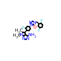 Cc1c(-c2ccc(-n3ncn(Cc4cc(F)ccc4F)c3=O)cc2F)c2c(N)ncnc2n1C